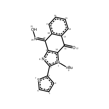 CCCCn1c(-c2cccs2)nc2c1C(=O)c1ccccc1C2=NO